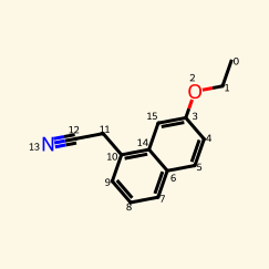 CCOc1ccc2cccc(CC#N)c2c1